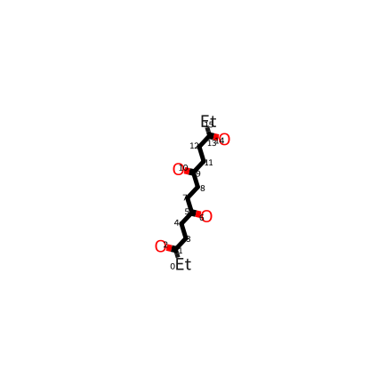 CCC(=O)CCC(=O)CCC(=O)CCC(=O)CC